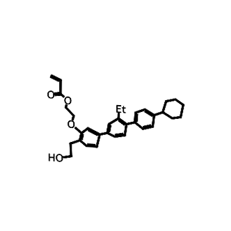 C=CC(=O)OCCOc1cc(-c2ccc(-c3ccc(C4CCCCC4)cc3)c(CC)c2)ccc1CCO